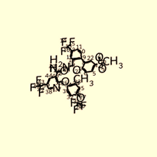 CS(=O)(=O)c1cccc(-c2ccc(C(F)(F)F)cc2C(N)=O)c1.Cc1cc(OC(F)(F)F)ccc1Oc1ncc(C(F)(F)F)cc1C(N)=O